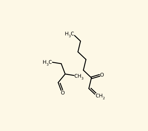 C=CC(=O)CCCCC.CCC(C)C=O